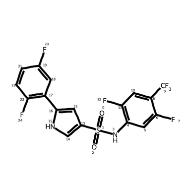 O=S(=O)(Nc1cc(F)c(C(F)(F)F)cc1F)c1c[nH]c(-c2cc(F)ccc2F)c1